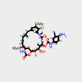 COc1cc2cc(c1Cl)N(C)C(=O)C/C(OC(=O)Nc1ccc(N)c(C)c1)=C(\C)[C@@H](O)[C@H](C)[C@@H]1C[C@@](O)(NC(=O)O1)[C@H](OC)/C=C/C=C(\C)C2